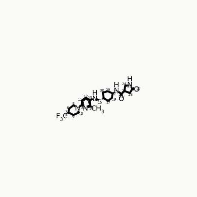 Cc1nc(N2CCC(C(F)(F)F)CC2)ccc1NC[C@H]1CC[C@H](NC(=O)C2CNC(=O)C2)CC1